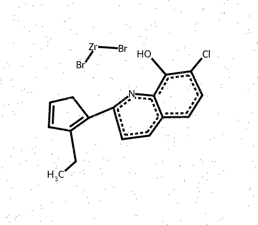 CCC1=C(c2ccc3ccc(Cl)c(O)c3n2)CC=C1.[Br][Zr][Br]